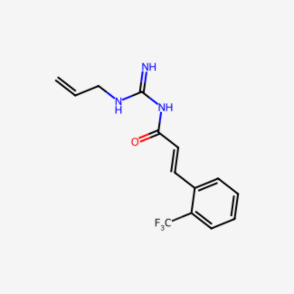 C=CCNC(=N)NC(=O)C=Cc1ccccc1C(F)(F)F